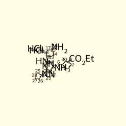 CCOC(=O)c1cccc(CNc2nc(NC3CCC(N)CC3)nc3c2ncn3C2CCCC2)c1.Cl.Cl